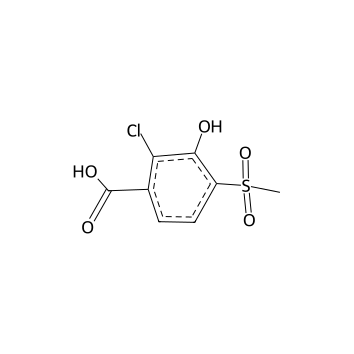 CS(=O)(=O)c1ccc(C(=O)O)c(Cl)c1O